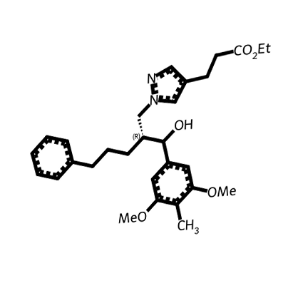 CCOC(=O)CCc1cnn(C[C@@H](CCCc2ccccc2)C(O)c2cc(OC)c(C)c(OC)c2)c1